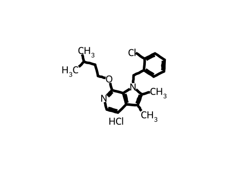 Cc1c(C)n(Cc2ccccc2Cl)c2c(OCCC(C)C)nccc12.Cl